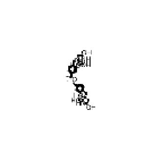 O=C(OCc1ccc(CN2CC(O)NS2(O)O)cc1)c1ccc(CN2CC(O)NS2(O)O)cc1